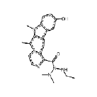 CCNN(C(=O)c1nccc2c(C)c3c(cc12)c1cc(O)ccc1n3C)N(C)C